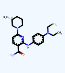 CCN(CC)c1ccc(Nc2nc(N3CCC[C@@H](C)C3)ccc2C(N)=O)cc1